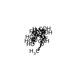 CCCCCOC(=O)Nc1nc(=O)n([C@@H]2O[C@H](C)[C@@H](O)[C@H]2O)cc1F.Nc1nc(F)nc2c1ncn2[C@@H]1O[C@H](CO)[C@@H](O)[C@@H]1O